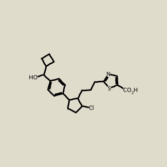 O=C(O)c1cnc(CCCC2C(Cl)CCC2c2ccc(C(O)C3CCC3)cc2)s1